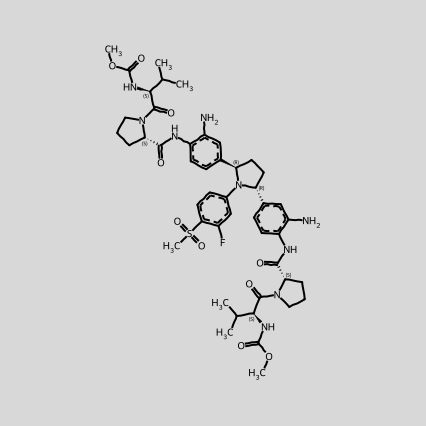 COC(=O)N[C@H](C(=O)N1CCC[C@H]1C(=O)Nc1ccc([C@H]2CC[C@H](c3ccc(NC(=O)[C@@H]4CCCN4C(=O)[C@@H](NC(=O)OC)C(C)C)c(N)c3)N2c2ccc(S(C)(=O)=O)c(F)c2)cc1N)C(C)C